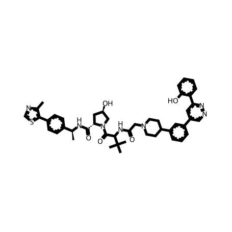 Cc1ncsc1-c1ccc([C@H](C)NC(=O)[C@@H]2C[C@@H](O)CN2C(=O)C(NC(=O)CN2CCC(c3cccc(-c4cnnc(-c5ccccc5O)c4)c3)CC2)C(C)(C)C)cc1